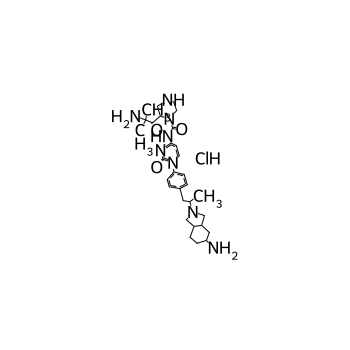 CC(Cc1ccc(-n2ccc(NC(=O)N3CCNCC3C(=O)C(C)(C)N)nc2=O)cc1)N1CC2CCC(N)CC2C1.Cl